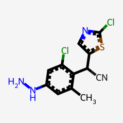 Cc1cc(NN)cc(Cl)c1C(C#N)c1cnc(Cl)s1